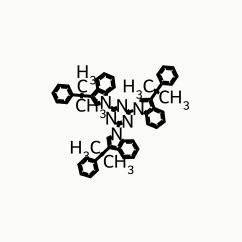 CC(C)(c1ccccc1)c1cn(-c2nc(-n3cc(C(C)(C)c4ccccc4)c4ccccc43)nc(-n3cc(C(C)(C)c4ccccc4)c4ccccc43)n2)c2ccccc12